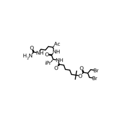 CC(=O)[C@H](CCCNC(N)=O)NC(=O)[C@@H](NC(=O)CCCCC(C)(C)OC(=O)C(CBr)CBr)C(C)C